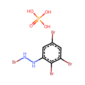 BrNNc1cc(Br)cc(Br)c1Br.O=P(O)(O)O